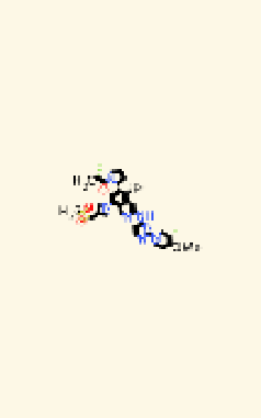 C=C(F)C(=O)N1CCC[C@@H]1c1cc(N2CC(CS(C)(=O)=O)C2)c2cnc(Nc3ccnc(N4CC[C@@H](OC)[C@@H](F)C4)n3)cc2c1C(C)C